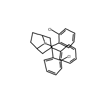 Clc1ccccc1C(c1ccccc1Cl)N1C2CCC1CC(c1ccccc1)C2